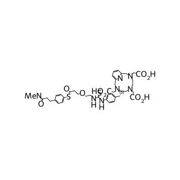 CNC(=O)CCc1ccc(SC(=O)CCOCCNC(=S)Nc2ccc(C[C@H]3CN(CC(=O)O)CCN(CC(=O)O)Cc4cccc(n4)CN3CC(=O)O)cc2)cc1